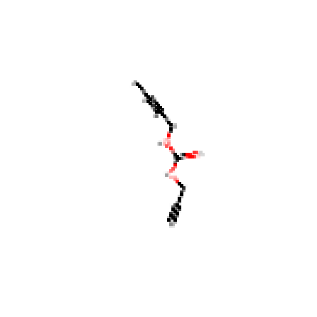 C#CCOC(=O)OCC#CC